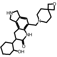 O=C1Nc2c(CN3CCC4(CC3)COC4)cc3c(c2CC1C1CCCCC1O)CNC3